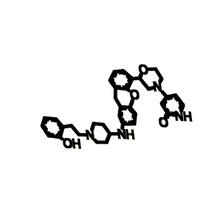 O=c1cc(N2CCOC(c3cccc4c3Oc3ccc(NC5CCN(CCc6ccccc6O)CC5)cc3C4)C2)cc[nH]1